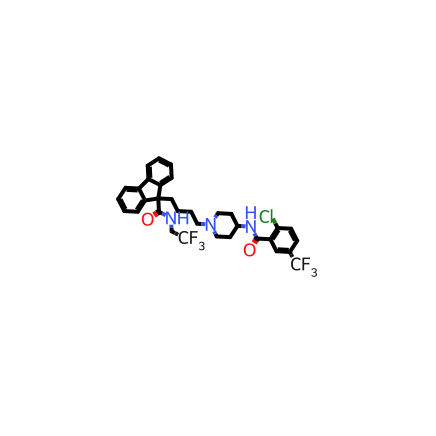 O=C(NC1CCN(CCCCC2(C(=O)NCC(F)(F)F)c3ccccc3-c3ccccc32)CC1)c1cc(C(F)(F)F)ccc1Cl